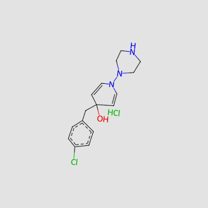 Cl.OC1(Cc2ccc(Cl)cc2)C=CN(N2CCNCC2)C=C1